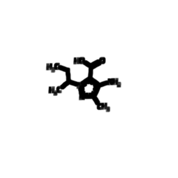 CCC(C)n1nc(C)c(N)c1C(=O)O